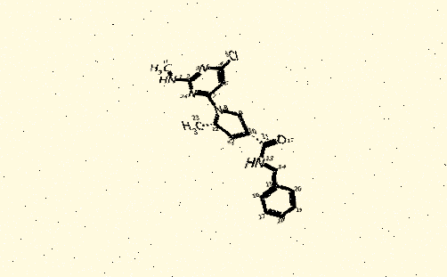 CNc1nc(Cl)cc(N2C[C@H](C(=O)NCc3ccccc3)C[C@@H]2C)n1